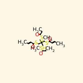 C=CC(=O)[SH](C)CC(CSC(=O)C=CC)(CSC(=O)C=CC)C[SH](C)C(=O)C=C